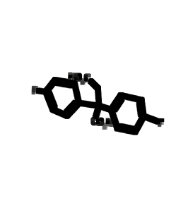 O=C(O)CC(C(=O)O)(c1ccc(F)cc1)c1ccc(F)cc1